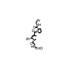 C/C(=C\[C@H](C(C)C)N(C)C(=O)CNC=O)C(=O)N1CCC[C@H]1C(=O)NCC(C)C